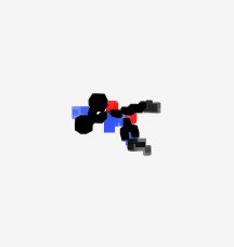 CC(=O)CCCCC[C@H](NC(=O)C1CCN(C)CC1)C(=O)NCCc1c(-c2ccccc2)[nH]c2ccccc12